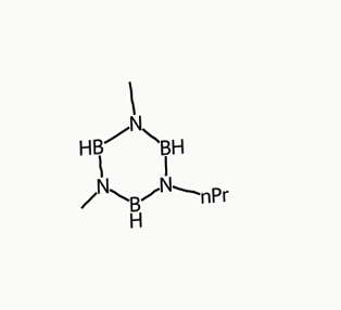 CCCN1BN(C)BN(C)B1